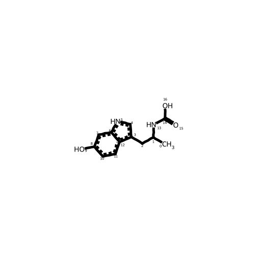 CC(Cc1c[nH]c2cc(O)ccc12)NC(=O)O